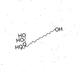 CC(O)CC(CCCCCCCCCCCCCCCCO)OCC(O)CO